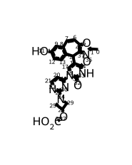 Cc1nc2c(o1)C=Cc1cc(O)ccc1C2c1cn(-c2ccnc(N3CC(OC(=O)O)C3)n2)c(=O)[nH]c1=O